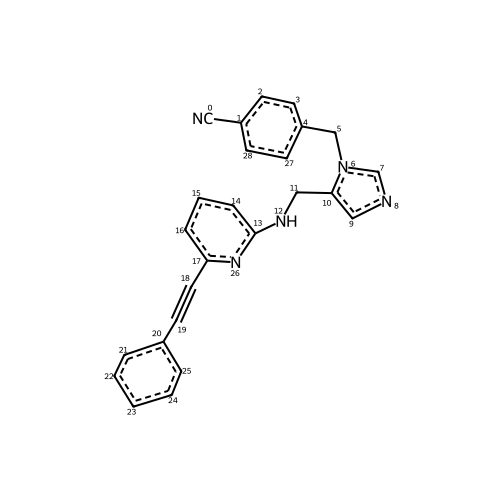 N#Cc1ccc(Cn2cncc2CNc2cccc(C#Cc3ccccc3)n2)cc1